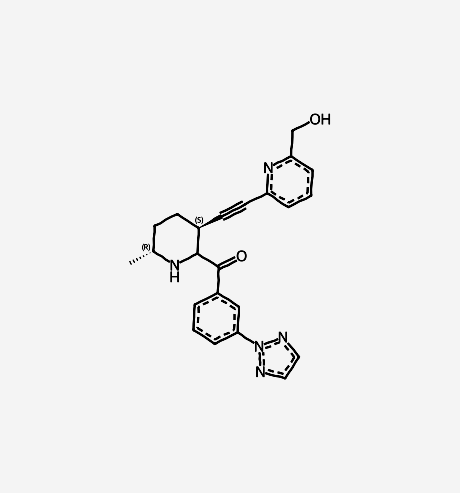 C[C@@H]1CC[C@@H](C#Cc2cccc(CO)n2)C(C(=O)c2cccc(-n3nccn3)c2)N1